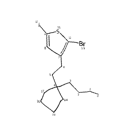 CCCCC1(CCc2cc(I)sc2Br)CCCC1